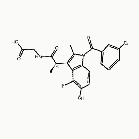 Cc1c([C@@H](C)C(=O)NCC(=O)O)c2c(F)c(O)ccc2n1C(=O)c1cccc(Cl)c1